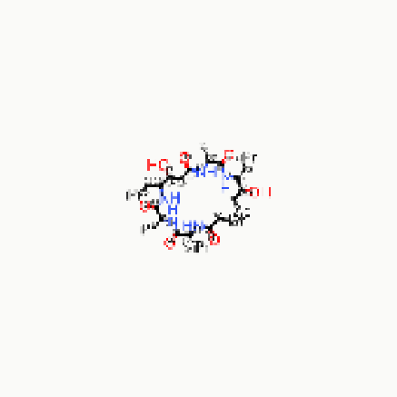 CC(=O)C[C@H](O)[C@H](CC(C)C)NC(=O)[C@H](C)NC(=O)C[C@H](O)[C@H](CC(C)C)NC(=O)[C@@H](NC(=O)[C@@H](NC(=O)CC(C)C)C(C)C)C(C)C